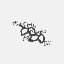 C#C[C@]1(O)CC[C@H]2[C@@H]3CCc4cc(O)cc(C=O)c4[C@H]3CCC21C